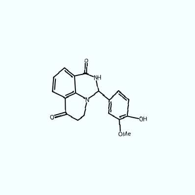 COc1cc(C2NC(=O)c3cccc4c3N2CCC4=O)ccc1O